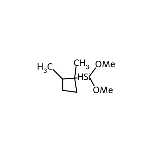 CO[SiH](OC)C1(C)CCC1C